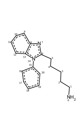 NCCCCCc1nc2ccccc2n1-c1ccccc1